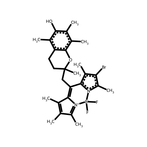 CC1=C(C)C(C)=[N+]2C1=C(CC1(C)CCc3c(C)c(O)c(C)c(C)c3O1)c1c(C)c(Br)c(C)n1[B-]2(F)F